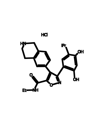 CCNC(=O)c1onc(-c2cc(C(C)C)c(O)cc2O)c1-c1ccc2c(c1)CCNC2.Cl